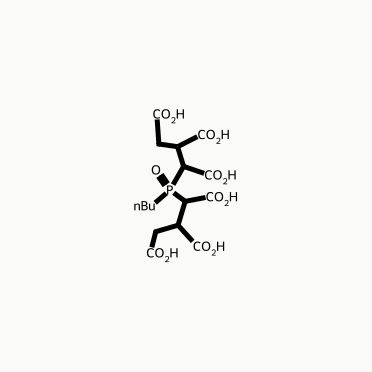 CCCCP(=O)(C(C(=O)O)C(CC(=O)O)C(=O)O)C(C(=O)O)C(CC(=O)O)C(=O)O